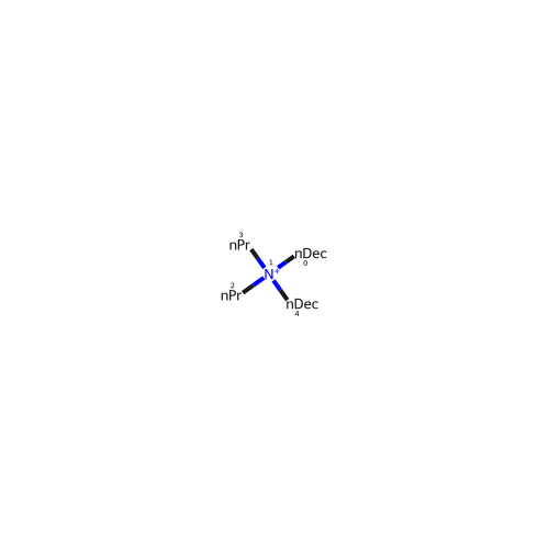 CCCCCCCCCC[N+](CCC)(CCC)CCCCCCCCCC